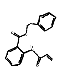 C=CC(=O)Nc1ccccc1C(=O)OCc1ccccc1